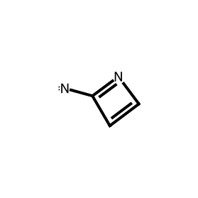 [N]C1=NC=C1